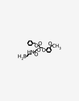 B/C=C/CNC(=O)COC(COc1cccc(C(C)=O)c1)C(=O)OCc1ccccc1